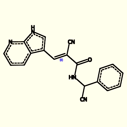 N#C/C(=C\c1c[nH]c2ncccc12)C(=O)NC(C#N)c1ccccc1